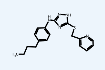 CCCCc1ccc(Nc2n[nH]c(SCc3ccccn3)n2)cc1